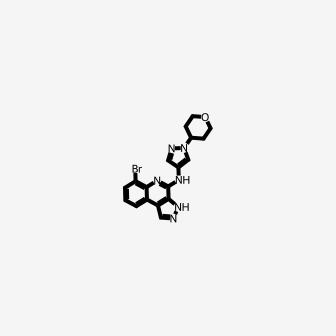 Brc1cccc2c1nc(Nc1cnn(C3CCOCC3)c1)c1[nH]ncc12